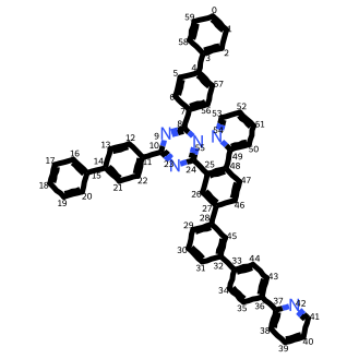 c1ccc(-c2ccc(-c3nc(-c4ccc(-c5ccccc5)cc4)nc(-c4cc(-c5cccc(-c6ccc(-c7ccccn7)cc6)c5)ccc4-c4ccccn4)n3)cc2)cc1